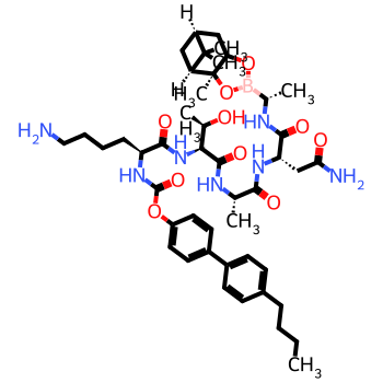 CCCCc1ccc(-c2ccc(OC(=O)N[C@@H](CCCCN)C(=O)N[C@H](C(=O)N[C@@H](C)C(=O)N[C@@H](CC(N)=O)C(=O)N[C@@H](C)B3OC4C[C@@H]5C[C@@H](C5(C)C)[C@]4(C)O3)[C@@H](C)O)cc2)cc1